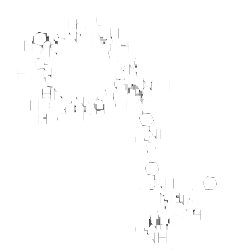 C/C=C(\C)[C@H]1OC(=O)[C@@H](C)NC(=O)[C@H](C(C)CC)NC(=O)CN(C)C(=O)[C@@H](Cc2ccccc2)N(C)C(=O)[C@H](C)NC(=O)[C@@H](CC(C)C)OC(=O)/C(C)=C/C[C@H](OC(=O)N(C)CCN(C)C(=O)OCc2ccc(NC(=O)OCc3ccc(NC(=O)[C@H](CCCNC(N)=O)NC(=O)[C@@H](NC(=O)OCc4ccccc4)C(C)C)cc3)cc2)[C@@H]1C